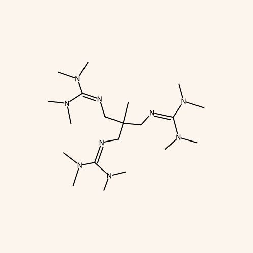 CN(C)C(=NCC(C)(CN=C(N(C)C)N(C)C)CN=C(N(C)C)N(C)C)N(C)C